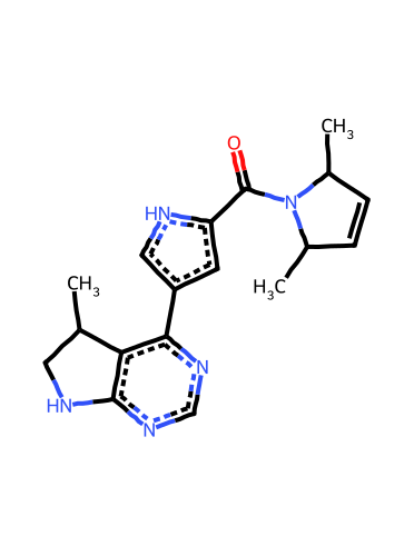 CC1CNc2ncnc(-c3c[nH]c(C(=O)N4C(C)C=CC4C)c3)c21